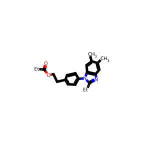 CCC(=O)OCCc1ccc(-n2c(CC)nc3cc(C)c(C)cc32)cc1